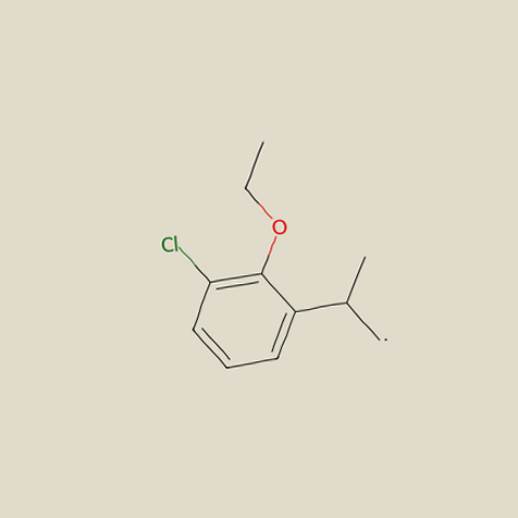 [CH2]C(C)c1cccc(Cl)c1OCC